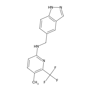 Cc1ccc(NCc2ccc3[nH]ncc3c2)nc1C(F)(F)F